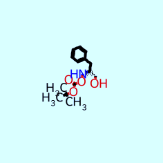 CC(C)(C)OC(=O)ON[C@@H](CO)Cc1ccccc1